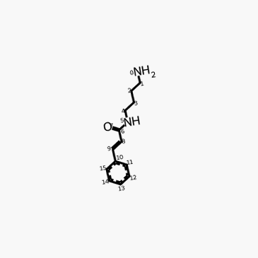 NCCCCNC(=O)C=Cc1ccccc1